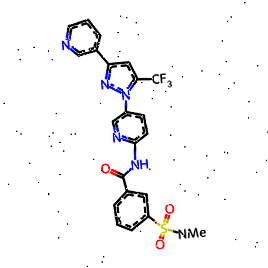 CNS(=O)(=O)c1cccc(C(=O)Nc2ccc(-n3nc(-c4cccnc4)cc3C(F)(F)F)cn2)c1